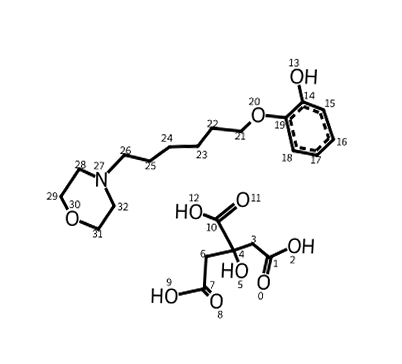 O=C(O)CC(O)(CC(=O)O)C(=O)O.Oc1ccccc1OCCCCCCN1CCOCC1